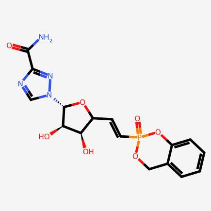 NC(=O)c1ncn([C@@H]2OC(/C=C/P3(=O)OCc4ccccc4O3)[C@@H](O)[C@H]2O)n1